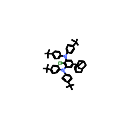 CC(C)(C)c1ccc(N(c2ccc(C(C)(C)C)cc2)c2cc(C34CC5CC(CC(C5)C3)C4)cc(N(c3ccc(C(C)(C)C)cc3)c3ccc(C(C)(C)C)cc3)c2Cl)cc1